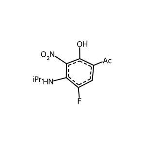 CC(=O)c1cc(F)c(NC(C)C)c([N+](=O)[O-])c1O